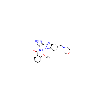 O=C(Nc1c[nH]nc1-c1nc2c([nH]1)CCC(CN1CCOCC1)=C2)c1ccccc1OC(F)(F)F